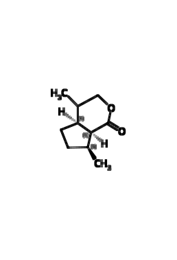 CC1COC(=O)[C@H]2[C@@H](C)CC[C@@H]12